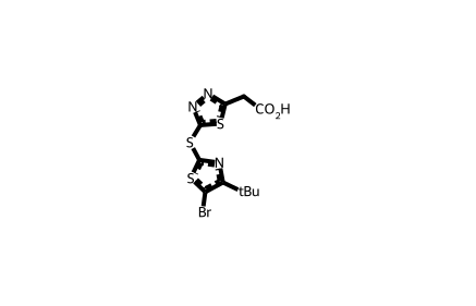 CC(C)(C)c1nc(Sc2nnc(CC(=O)O)s2)sc1Br